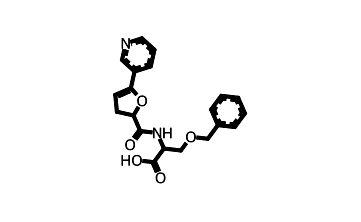 O=C(O)C(COCc1ccccc1)NC(=O)C1CC=C(c2cccnc2)O1